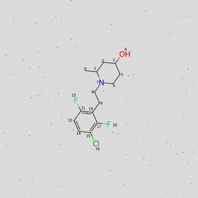 CC1CC(O)CCN1CCc1c(F)ccc(Cl)c1F